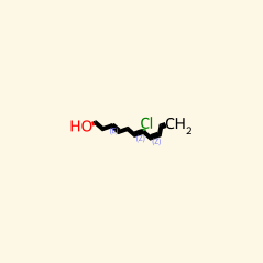 C=C/C=C\C(Cl)=C\C/C=C/CCO